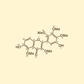 COc1c(O)cc(-c2oc3ccc(O)c(OC)c3c(=O)c2OC)c(OC)c1OC